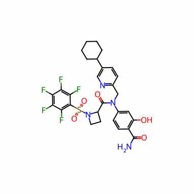 NC(=O)c1ccc(N(Cc2ccc(C3CCCCC3)cn2)C(=O)C2CCN2S(=O)(=O)c2c(F)c(F)c(F)c(F)c2F)cc1O